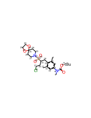 Cc1cc(N(C)C(=O)OC(C)(C)C)cc(C)c1CC(CCCl)S(=O)(=O)N1CCC2(CC1)OCCO2